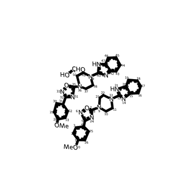 COc1ccc(-c2noc(N3CCN(c4nc5ccccc5[nH]4)CC3)n2)cc1.COc1ccc(-c2noc(N3CCN(c4nc5ccccc5[nH]4)CC3)n2)cc1.O=CO